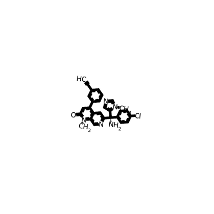 C#Cc1cccc(-c2cc(=O)n(C)c3cnc([C@](N)(c4ccc(Cl)cc4)c4cncn4C)cc23)c1